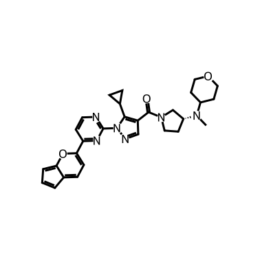 CN(C1CCOCC1)[C@@H]1CCN(C(=O)c2cnn(-c3nccc(-c4ccc5cccc-5o4)n3)c2C2CC2)C1